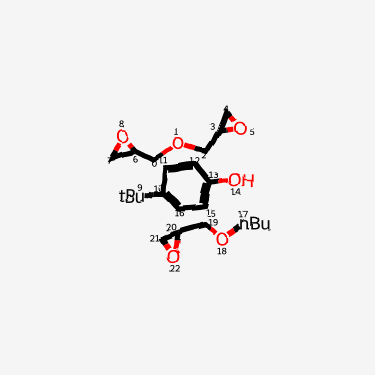 C(OCC1CO1)C1CO1.CC(C)(C)c1ccc(O)cc1.CCCCOCC1CO1